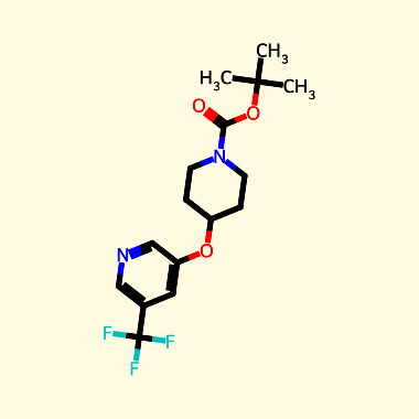 CC(C)(C)OC(=O)N1CCC(Oc2cncc(C(F)(F)F)c2)CC1